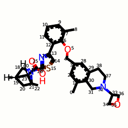 Cc1cc(COc2c(C)cccc2-c2csc(N3C[C@H]4CC3(C)[C@H]4C(=O)O)n2)cc2c1CN(C1COC1)CC2